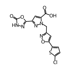 O=C(O)c1cc(-c2n[nH]c(=O)o2)nn1Cc1cc(-c2ccc(Cl)s2)on1